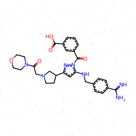 N=C(N)c1ccc(CNc2cc(C3CCN(CC(=O)N4CCOCC4)C3)nn2C(=O)c2cccc(C(=O)O)c2)cc1